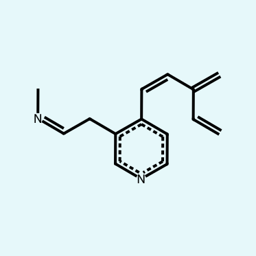 C=CC(=C)/C=C\c1ccncc1C/C=N\C